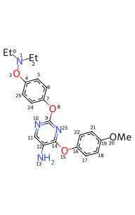 CCN(CC)Oc1ccc(Oc2ncc(N)c(Oc3ccc(OC)cc3)n2)cc1